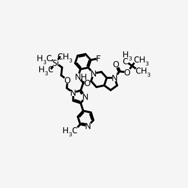 Cc1cc(-c2cn(COCC[Si](C)(C)C)c(C(=O)Nc3cccc(F)c3N3CCC4CCN(C(=O)OC(C)(C)C)C4C3)n2)ccn1